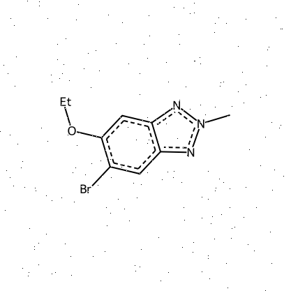 CCOc1cc2nn(C)nc2cc1Br